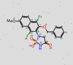 COc1ccc2c(F)c(OCc3ccccc3)c(N3CC(=O)NS3(=O)=O)c(F)c2c1